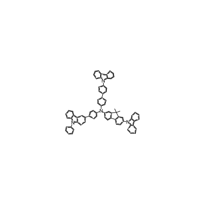 CC1(C)c2cc(N(c3ccc(-c4ccc(-n5c6ccccc6c6ccccc65)cc4)cc3)c3ccc(-c4ccc5c(c4)c4ccccc4n5-c4ccccc4)cc3)ccc2-c2ccc(-n3c4ccccc4c4ccccc43)cc21